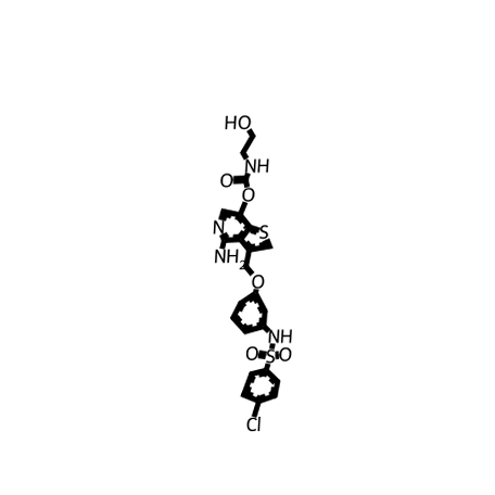 Nc1ncc(OC(=O)NCCO)c2scc(COc3cccc(NS(=O)(=O)c4ccc(Cl)cc4)c3)c12